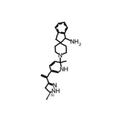 C=C(C1=CNC(C)(N2CCC3(CC2)Cc2ccccc2C3N)C=C1)C1=NN[C@@H](C)C1